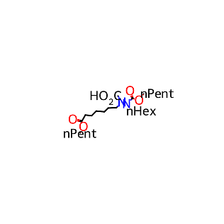 CCCCCCN(C(=O)OCCCCC)N(CCCCCCC(=O)OCCCCC)C(=O)O